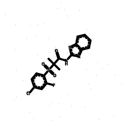 CC(C)(C(=O)Nc1nc2ccccc2s1)S(=O)(=O)c1ccc(Cl)cc1F